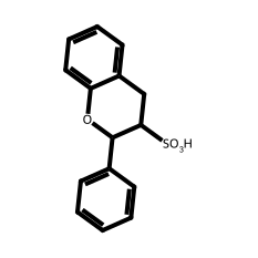 O=S(=O)(O)C1Cc2ccccc2OC1c1ccccc1